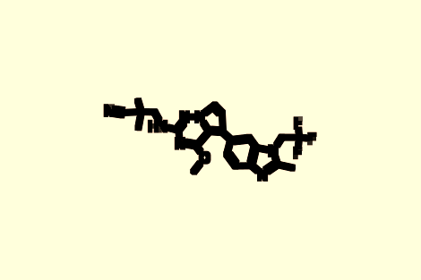 COc1nc(NCC(C)(C)C#N)nn2ccc(-c3ccc4nc(C)n(CC(F)(F)F)c4c3)c12